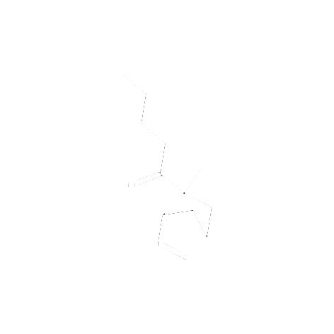 CCCCC(=O)C1(C)CC2C=CC1C2